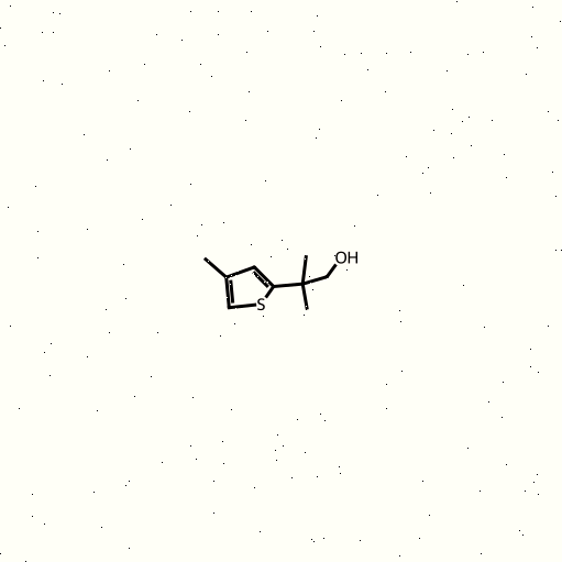 Cc1csc(C(C)(C)CO)c1